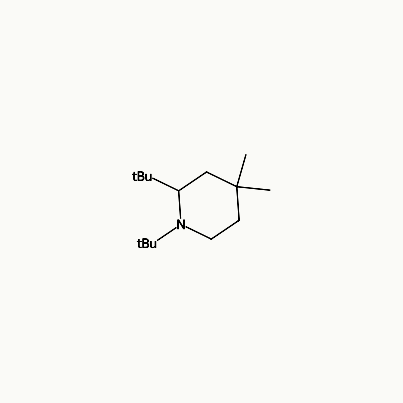 CC1(C)CCN(C(C)(C)C)C(C(C)(C)C)C1